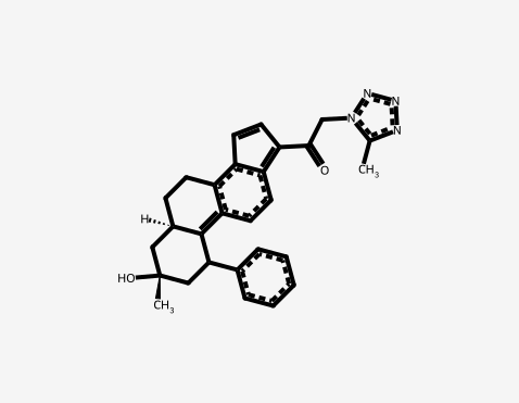 Cc1nnnn1CC(=O)C1=c2ccc3c(c2C=C1)CC[C@@H]1C[C@@](C)(O)CC(c2ccccc2)C=31